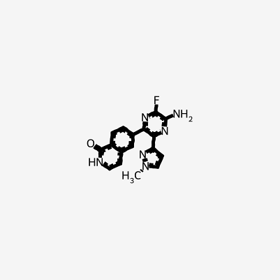 Cn1ccc(-c2nc(N)c(F)nc2-c2ccc3c(=O)[nH]ccc3c2)n1